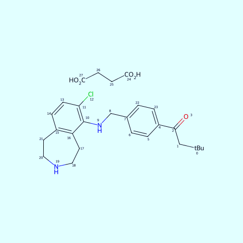 CC(C)(C)CC(=O)c1ccc(CNc2c(Cl)ccc3c2CCNCC3)cc1.O=C(O)CCC(=O)O